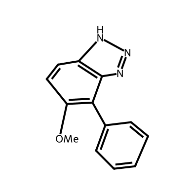 COc1ccc2[nH]nnc2c1-c1ccccc1